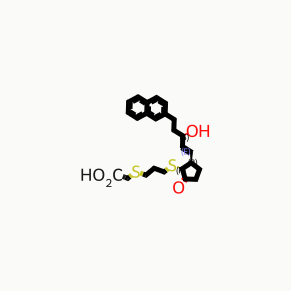 O=C(O)CSCCCS[C@H]1C(=O)CC[C@@H]1/C=C/[C@@H](O)CCc1ccc2ccccc2c1